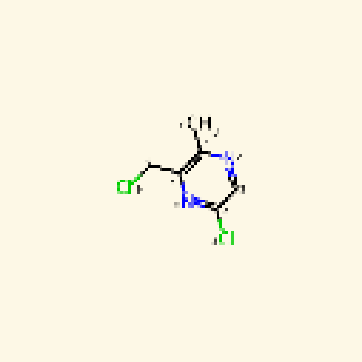 Cc1ncc(Cl)nc1CCl